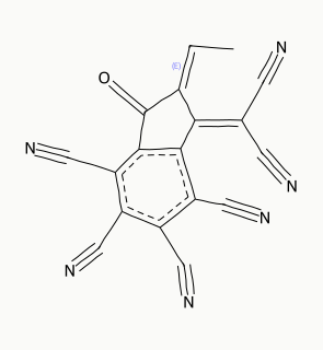 C/C=C1/C(=O)c2c(C#N)c(C#N)c(C#N)c(C#N)c2C1=C(C#N)C#N